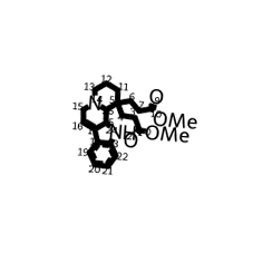 COC(=O)CCC1(CCC(=O)OC)CCCN2CC=C3c4ccccc4NC3C21